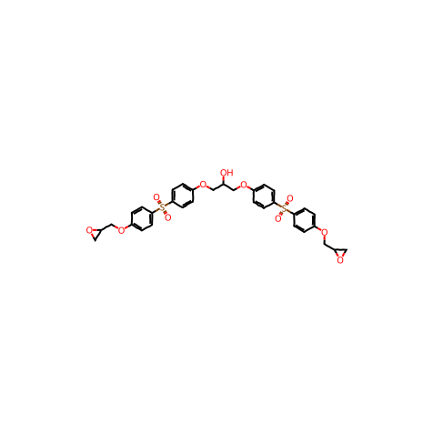 O=S(=O)(c1ccc(OCC(O)COc2ccc(S(=O)(=O)c3ccc(OCC4CO4)cc3)cc2)cc1)c1ccc(OCC2CO2)cc1